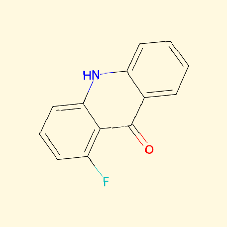 O=c1c2ccccc2[nH]c2cccc(F)c12